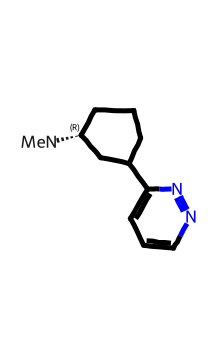 CN[C@@H]1CCCC(c2cccnn2)C1